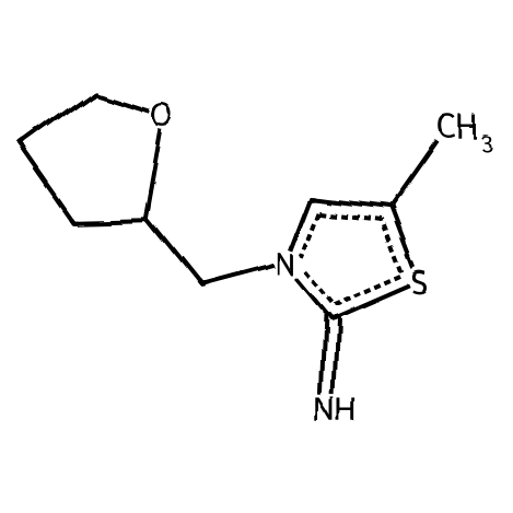 Cc1cn(CC2CCCO2)c(=N)s1